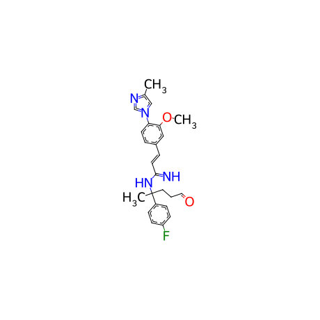 COc1cc(/C=C/C(=N)NC(C)(CCC=O)c2ccc(F)cc2)ccc1-n1cnc(C)c1